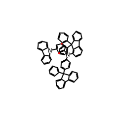 c1ccc(C2(c3ccc(N(c4cccc(-n5c6ccccc6c6ccccc65)c4)c4cccc5c4C(c4ccccc4)(c4ccccc4)c4ccccc4-5)cc3)c3ccccc3-c3ccccc32)cc1